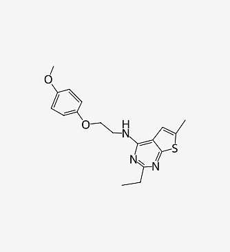 CCc1nc(NCCOc2ccc(OC)cc2)c2cc(C)sc2n1